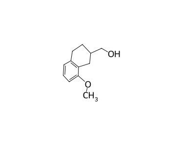 COc1cccc2c1CC(CO)CC2